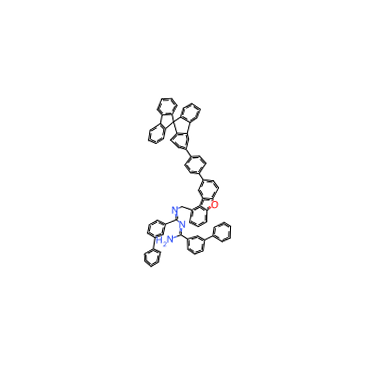 N/C(=N\C(=N/Cc1cccc2oc3ccc(-c4ccc(-c5ccc6c(c5)-c5ccccc5C65c6ccccc6-c6ccccc65)cc4)cc3c12)c1cccc(-c2ccccc2)c1)c1cccc(-c2ccccc2)c1